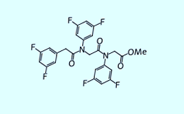 COC(=O)CN(C(=O)CN(C(=O)Cc1cc(F)cc(F)c1)c1cc(F)cc(F)c1)c1cc(F)cc(F)c1